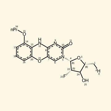 [2H]C[C@H]1O[C@@H](n2cc3c(nc2=O)Nc2c(OCCC)cccc2O3)[C@@H](F)C1O